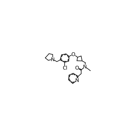 CN(CC1CC(Oc2ccc(CN3CCCC3)c(Cl)c2)C1)C(=O)Cc1ccccn1